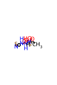 C/C=C\C1=C(C(=O)O)N2C(=O)C(NC(=O)CNc3ccc4ncsc4c3)[C@@H]2SC1